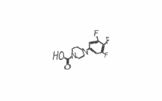 O=C(O)N1CCN(c2cc(F)c(F)c(F)c2)CC1